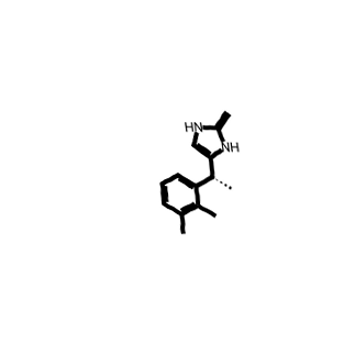 C=C1NC=C([C@H](C)c2cccc(C)c2C)N1